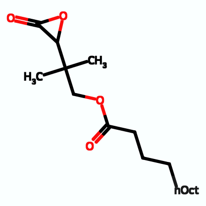 CCCCCCCCCCCC(=O)OCC(C)(C)C1OC1=O